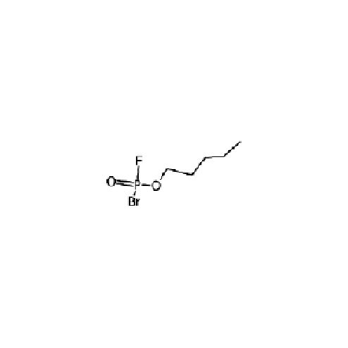 CCCCCOP(=O)(F)Br